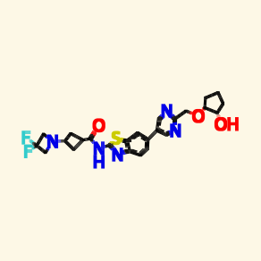 O=C(Nc1nc2ccc(-c3cnc(CO[C@H]4CCC[C@@H]4O)nc3)cc2s1)C1CC(N2CC(F)(F)C2)C1